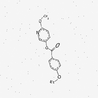 CCOc1ccc(C(=O)Oc2ccc(OC(F)(F)F)nc2)cc1